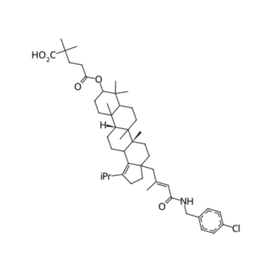 C/C(=C\C(=O)NCc1ccc(Cl)cc1)CC12CCC(C(C)C)=C1C1CC[C@@H]3C4(C)CCC(OC(=O)CCC(C)(C)C(=O)O)C(C)(C)C4CCC3(C)[C@]1(C)CC2